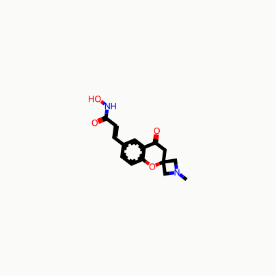 CN1CC2(CC(=O)c3cc(C=CC(=O)NO)ccc3O2)C1